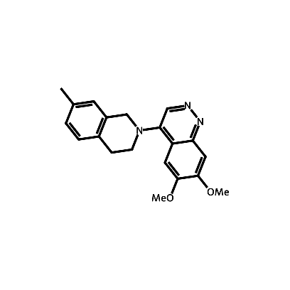 COc1cc2nncc(N3CCc4ccc(C)cc4C3)c2cc1OC